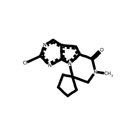 CN1CC2(CCCC2)n2c(cc3cnc(Cl)nc32)C1=O